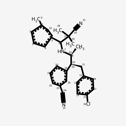 Cc1cccc(C(N[C@@H](C)[C@@H](Cc2ccc(Cl)cc2)c2cccc(C#N)c2)C(C)(C)C#N)c1